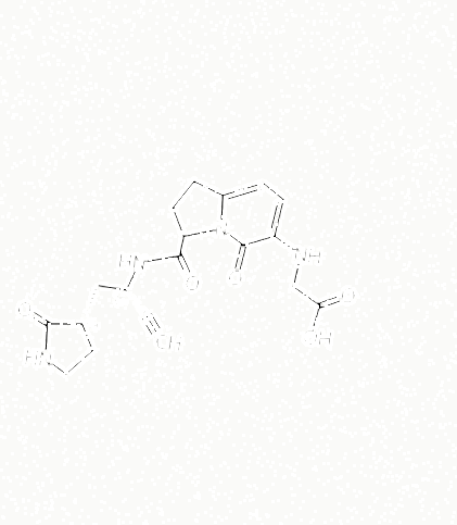 C#C[C@H](C[C@@H]1CCNC1=O)NC(=O)C1CCc2ccc(NCC(=O)O)c(=O)n21